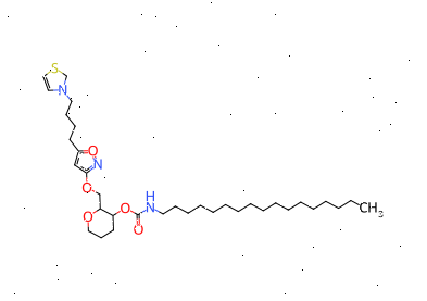 CCCCCCCCCCCCCCCCCNC(=O)OC1CCCOC1COc1cc(CCCCN2C=CSC2)on1